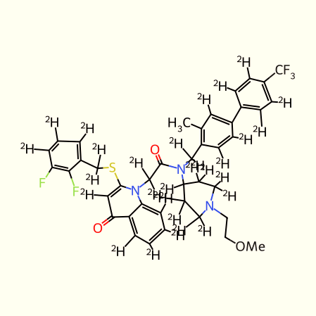 [2H]c1c([2H])c(F)c(F)c(C([2H])([2H])Sc2c([2H])c(=O)c3c([2H])c([2H])c([2H])c([2H])c3n2C([2H])([2H])C(=O)N(C([2H])([2H])c2c([2H])c([2H])c(-c3c([2H])c([2H])c(C(F)(F)F)c([2H])c3[2H])c([2H])c2C)C2([2H])C([2H])([2H])C([2H])([2H])N(CCOC)C([2H])([2H])C2([2H])[2H])c1[2H]